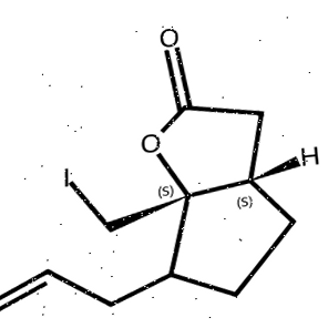 C=CCC1CC[C@H]2CC(=O)O[C@@]12CI